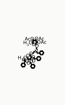 CC(=O)O[C@H]1[C@H](OC(C)=O)[C@H](OCCN(CCO[C@@H]2O[C@@H](C)[C@@H](OC(=O)c3ccccc3)[C@@H](OC(=O)c3ccccc3)[C@@H]2OC(=O)c2ccccc2)Cc2ccccc2)O[C@@H](C)[C@H]1OC(C)=O